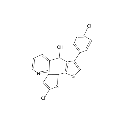 OC(c1cccnc1)c1c(-c2ccc(Cl)cc2)csc1-c1ccc(Cl)s1